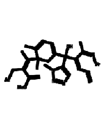 C=C/C=C(\C(C)=N/C(C)C)C(O)(C1=CC=C(C)C(C)(/C(C)=C(/CC(C)=O)C(=C)OC)C1)c1cnnn1C